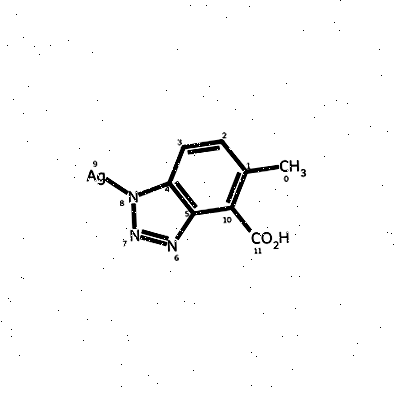 Cc1ccc2c(nn[n]2[Ag])c1C(=O)O